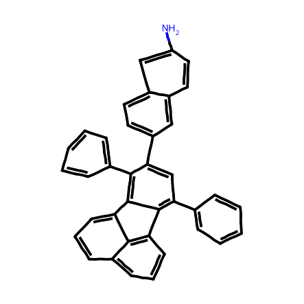 Nc1ccc2cc(-c3cc(-c4ccccc4)c4c(c3-c3ccccc3)-c3cccc5cccc-4c35)ccc2c1